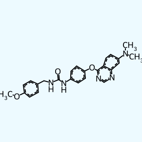 COc1ccc(CNC(=O)Nc2ccc(Oc3ncnc4cc(N(C)C)ccc34)cc2)cc1